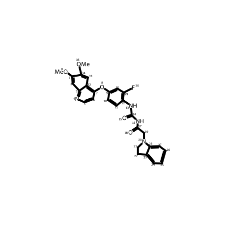 COc1cc2nccc(Oc3ccc(NC(=O)NC(=O)CN4CCc5ccccc54)c(F)c3)c2cc1OC